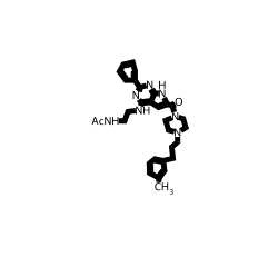 CC(=O)NCCNc1nc(-c2ccccc2)nc2[nH]c(C(=O)N3CCN(CCCc4cccc(C)c4)CC3)cc12